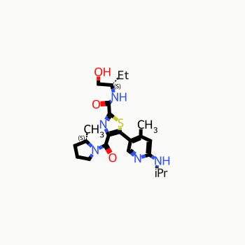 CC[C@@H](CO)NC(=O)c1nc(C(=O)N2CCC[C@@H]2C)c(-c2cnc(NC(C)C)cc2C)s1